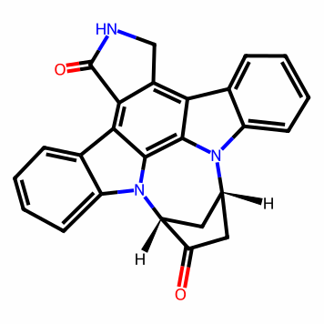 O=C1NCc2c1c1c3ccccc3n3c1c1c2c2ccccc2n1[C@@H]1CC(=O)[C@H]3C1